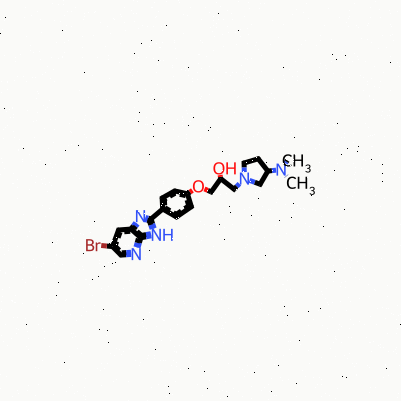 CN(C)C1CCN(CC(O)COc2ccc(-c3nc4cc(Br)cnc4[nH]3)cc2)C1